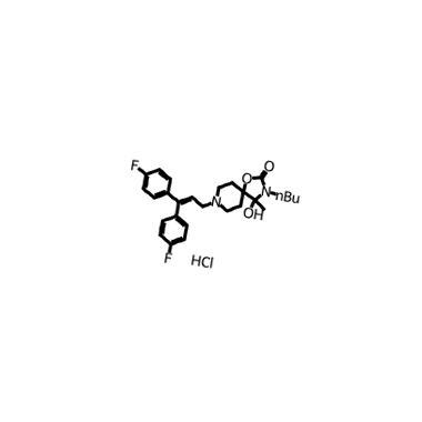 CCCCN1C(=O)OC2(CCN(CC=C(c3ccc(F)cc3)c3ccc(F)cc3)CC2)C1(C)O.Cl